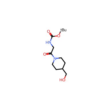 CC(C)(C)OC(=O)NCC(=O)N1CCC(CO)CC1